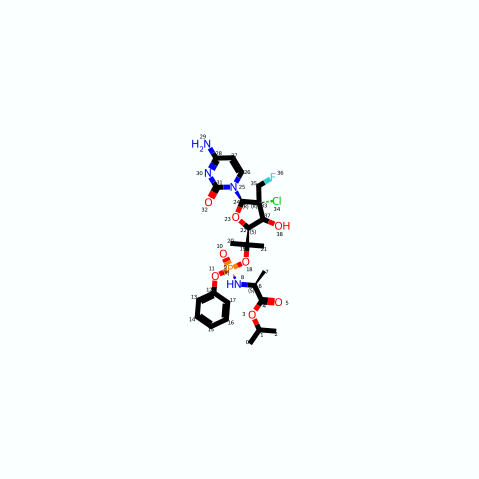 CC(C)OC(=O)[C@H](C)N[P@@](=O)(Oc1ccccc1)OC(C)(C)[C@H]1O[C@@H](n2ccc(N)nc2=O)[C@@](Cl)(CF)C1O